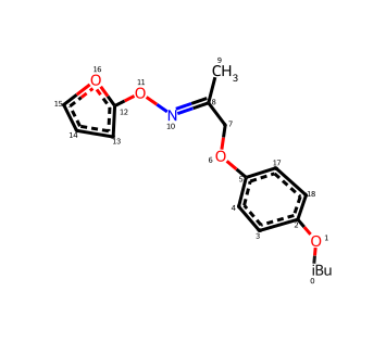 CCC(C)Oc1ccc(OCC(C)=NOc2ccco2)cc1